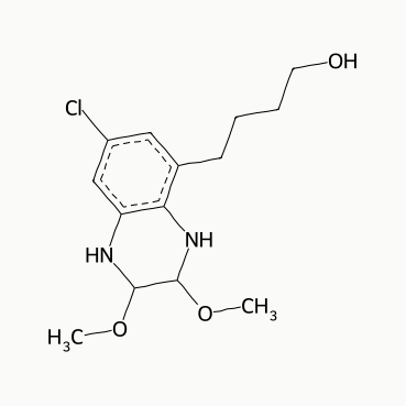 COC1Nc2cc(Cl)cc(CCCCO)c2NC1OC